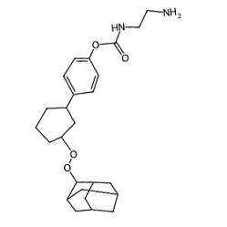 NCCNC(=O)Oc1ccc(C2CCCC(OOC3C4CC5CC(C4)CC3C5)C2)cc1